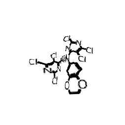 Clc1nc(Cl)c(Cl)c(Cl)n1.Clc1nc(Cl)c(Cl)c(Nc2ccc3c(c2)OCCO3)n1